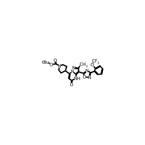 Cc1nn2c(C3CCN(C(=O)OC(C)(C)C)CC3)cc(=O)[nH]c2c1-c1nc(-c2ccccc2OC(F)(F)F)no1